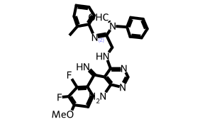 COc1ccc(C(=N)c2c(N)ncnc2NC/C(=N/c2ccccc2C)N(C=O)c2ccccc2)c(F)c1F